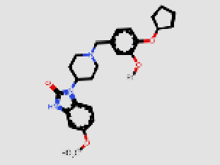 CCOc1cc(CN2CCC(n3c(=O)[nH]c4cc(OC(=O)O)ccc43)CC2)ccc1OC1CCCC1